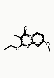 CCOc1nc2cc(OC)ccn2c(=O)c1I